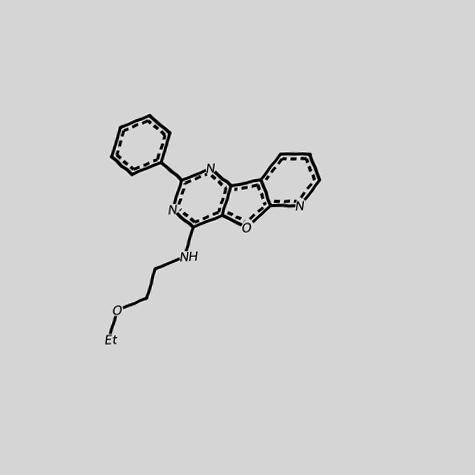 CCOCCNc1nc(-c2ccccc2)nc2c1oc1ncccc12